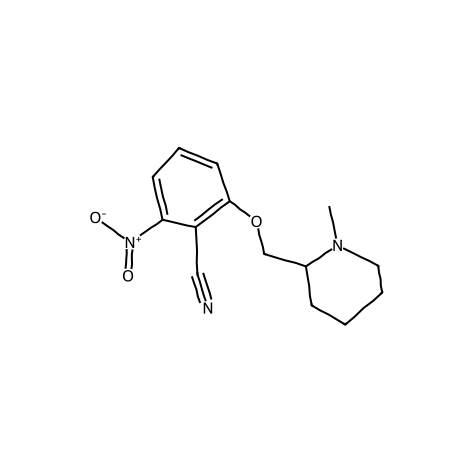 CN1CCCCC1COc1cccc([N+](=O)[O-])c1C#N